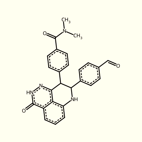 CN(C)C(=O)c1ccc(C2c3n[nH]c(=O)c4cccc(c34)NC2c2ccc(C=O)cc2)cc1